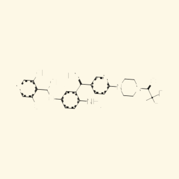 C[C@@H](Oc1ccc(N)c(C(=N)c2ccc(N3CCN(C(=O)C(F)(F)F)CC3)nc2)c1)c1c(Cl)cncc1Cl